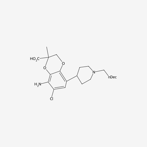 CCCCCCCCCCCN1CCC(c2cc(Cl)c(N)c3c2OCC(C)(C(=O)O)O3)CC1